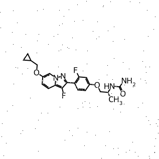 C[C@@H](COc1ccc(-c2nn3cc(OCC4CC4)ccc3c2F)c(F)c1)NC(N)=O